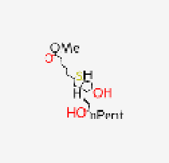 CCCCC[C@H](O)/C=C/[C@@H]1[C@H]2CC(CCCCC(=O)OC)S[C@@H]2C[C@H]1O